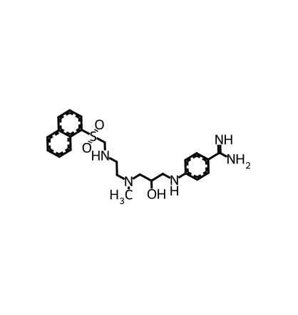 CN(CCNCS(=O)(=O)c1cccc2ccccc12)CC(O)CNc1ccc(C(=N)N)cc1